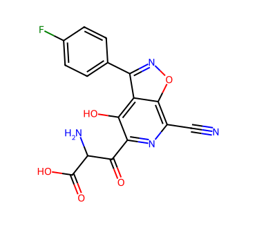 N#Cc1nc(C(=O)C(N)C(=O)O)c(O)c2c(-c3ccc(F)cc3)noc12